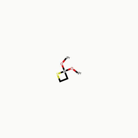 CC(C)O[Si]1(OC(C)C)CCS1